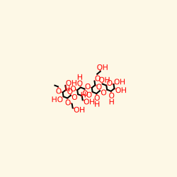 CCO[C@H]1C(CO)O[C@H](O[C@H]2C(CO)O[C@H](O[C@H]3C(COCCO)O[C@H](O[C@H]4C(CO)O[C@H](O)C(O)C4O)C(O)C3O)C(O)C2O)C(OCCO)C1O